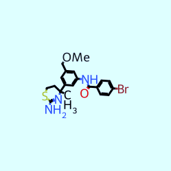 COCc1cc(NC(=O)c2ccc(Br)cc2)cc(C2(C)CCSC(N)=N2)c1